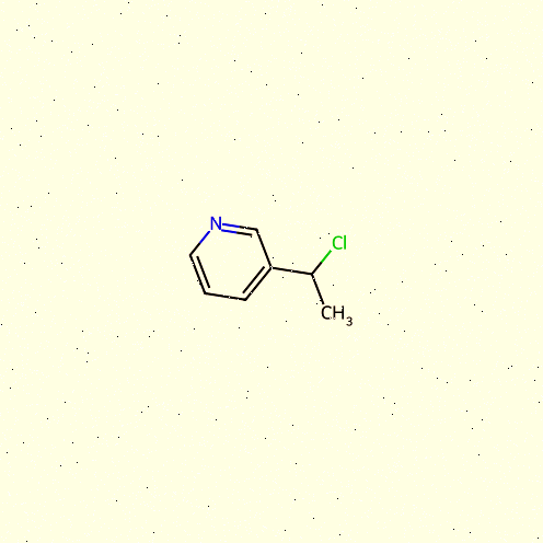 CC(Cl)c1cccnc1